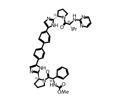 COC(=O)N[C@@H](C(=O)N1CCC[C@H]1c1ncc(-c2ccc(-c3ccc(-c4cnc([C@@H]5CCCN5C(=O)[C@H](Nc5ncccn5)C(C)C)[nH]4)cc3)cc2)[nH]1)c1ccccc1